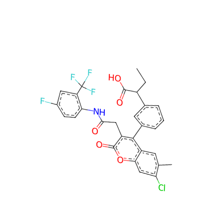 CCC(C(=O)O)c1cccc(-c2c(CC(=O)Nc3ccc(F)cc3C(F)(F)F)c(=O)oc3cc(Cl)c(C)cc23)c1